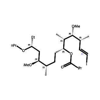 CCCO[C@H](CC)C[C@H](OC)[C@@H](C)CC[C@@H](OC(=O)C(C)C)[C@H](C)[C@H](OC)[C@H](C)/C=C/I